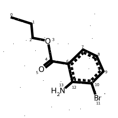 CCCOC(=O)c1cccc(Br)c1N